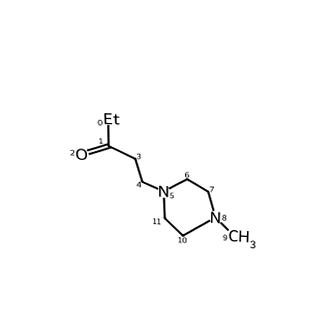 CCC(=O)CCN1CCN(C)CC1